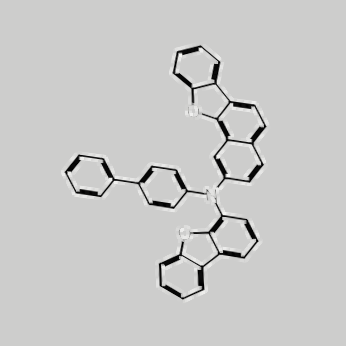 c1ccc(-c2ccc(N(c3ccc4ccc5c6ccccc6oc5c4c3)c3cccc4c3oc3ccccc34)cc2)cc1